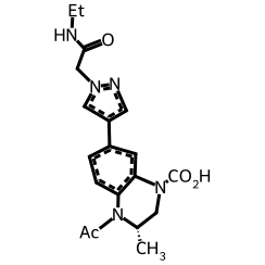 CCNC(=O)Cn1cc(-c2ccc3c(c2)N(C(=O)O)C[C@H](C)N3C(C)=O)cn1